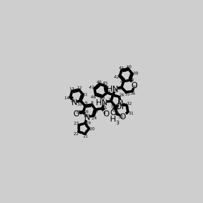 CC(O)C(NC(=O)c1cc(-c2ccccn2)c(=O)n(C2CCCC2)c1)C(CN1CCOCC1)(NC1CCOc2ccccc21)c1ccccc1